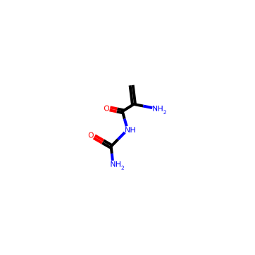 C=C(N)C(=O)NC(N)=O